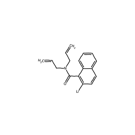 [Li][c]1ccc2ccccc2c1C(=O)N(CC=C)CC=C